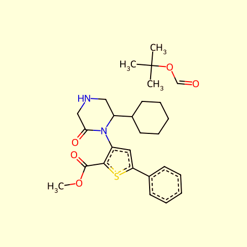 CC(C)(C)OC=O.COC(=O)c1sc(-c2ccccc2)cc1N1C(=O)CNCC1C1CCCCC1